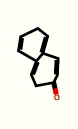 O=C1C=CC2=CCC=CC2=CC1